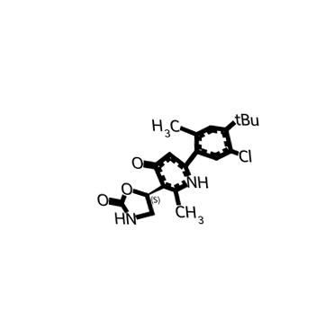 Cc1cc(C(C)(C)C)c(Cl)cc1-c1cc(=O)c([C@H]2CNC(=O)O2)c(C)[nH]1